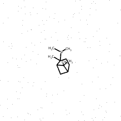 C[Si](C)C1(C)CCC2CC1C2(C)C